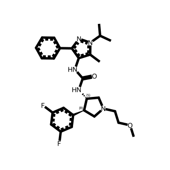 COCCN1C[C@@H](NC(=O)Nc2c(-c3ccccc3)nn(C(C)C)c2C)[C@H](c2cc(F)cc(F)c2)C1